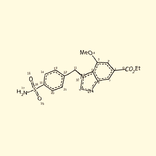 CCOC(=O)c1cc(OC)c2c(c1)ncn2Cc1ccc(S(N)(=O)=O)cc1